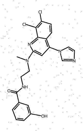 CN(CCNC(=O)c1cccc(O)c1)c1cc(-n2ccnc2)c2ccc(Cl)c(Cl)c2n1